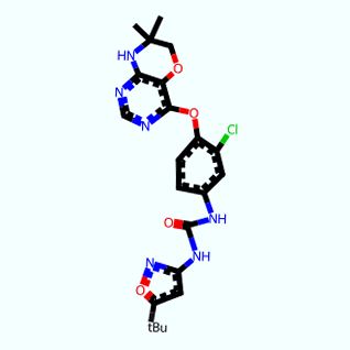 CC1(C)COc2c(ncnc2Oc2ccc(NC(=O)Nc3cc(C(C)(C)C)on3)cc2Cl)N1